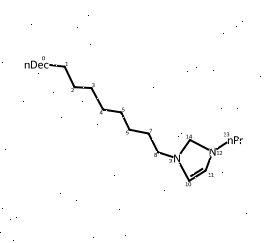 CCCCCCCCCCCCCCCCCCN1C=CN(CCC)C1